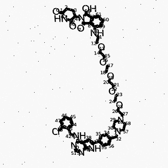 O=C1CCC(N2C(=O)c3c(NCCOCCOCCOCCOCCOCCN4CCN(Cc5ccc(-c6cc7c(NCc8ccccc8Cl)ncnc7[nH]6)cc5)CC4)cccc3C2O)C(=O)N1